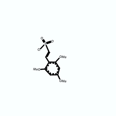 COc1cc(OC)c(C=CS(=O)(=O)Cl)c(OC)c1